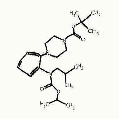 CC(C)CN(C(=O)OC(C)C)c1ccccc1N1CCN(C(=O)OC(C)(C)C)CC1